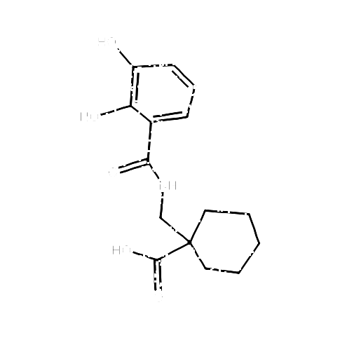 O=C(NCC1(C(=O)O)CCCCC1)c1cccc(O)c1O